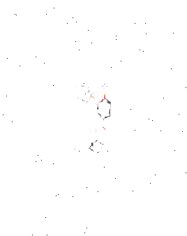 NC[C@]1(O)CC2CCC(C1)[C@@H]2S(=O)(=O)c1cc(C(=O)Nc2cc(F)c(F)c(F)c2)ccc1Cl